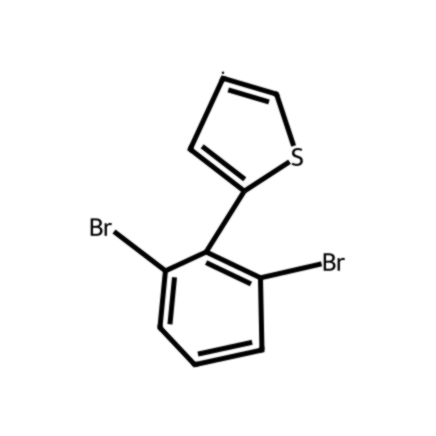 Brc1cccc(Br)c1-c1c[c]cs1